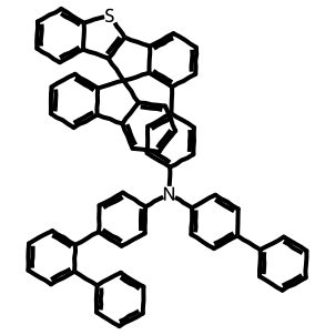 c1ccc(-c2ccc(N(c3ccc(-c4ccccc4-c4ccccc4)cc3)c3ccc(-c4cccc5c4C4(c6ccccc6-c6ccccc64)c4c-5sc5ccccc45)cc3)cc2)cc1